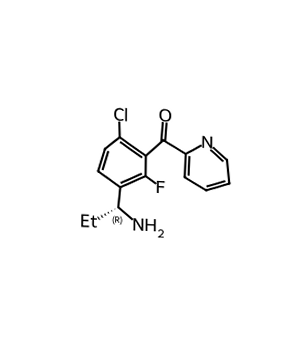 CC[C@@H](N)c1ccc(Cl)c(C(=O)c2ccccn2)c1F